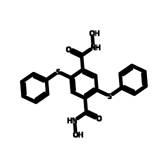 O=C(NO)c1cc(Sc2ccccc2)c(C(=O)NO)cc1Sc1ccccc1